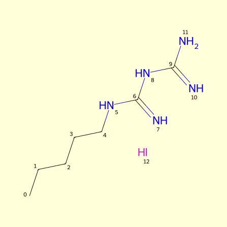 CCCCCNC(=N)NC(=N)N.I